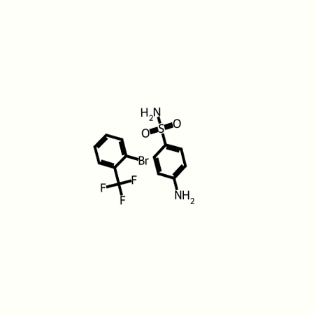 FC(F)(F)c1ccccc1Br.Nc1ccc(S(N)(=O)=O)cc1